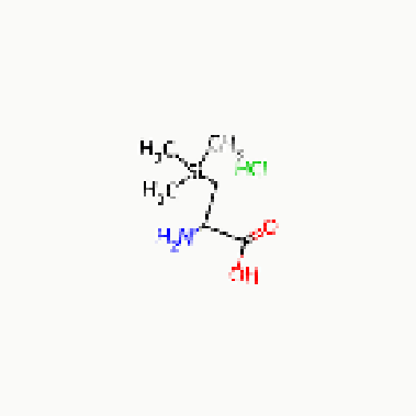 C[Si](C)(C)CC(N)C(=O)O.Cl